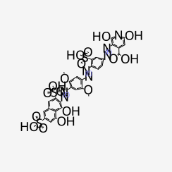 COc1cc(/N=N/c2c(S(=O)(=O)O)cc3cc(S(=O)(=O)O)cc(O)c3c2O)c(OC)cc1/N=N/c1ccc(/N=N/c2c(C(=O)O)cc(O)nc2O)cc1S(=O)(=O)O